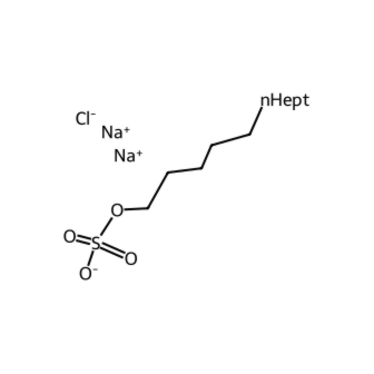 CCCCCCCCCCCCOS(=O)(=O)[O-].[Cl-].[Na+].[Na+]